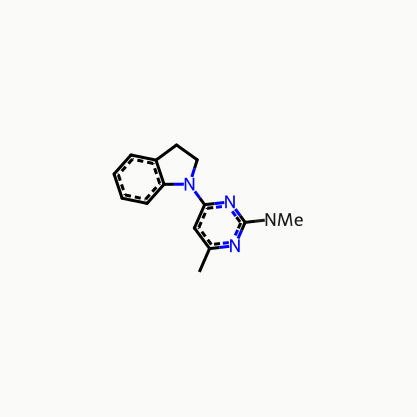 CNc1nc(C)cc(N2CCc3ccccc32)n1